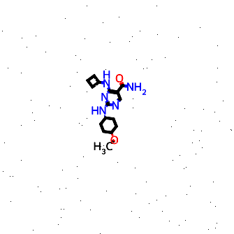 CO[C@H]1CC[C@H](Nc2ncc(C(N)=O)c(NC3CCC3)n2)CC1